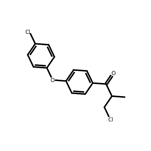 CC(CCl)C(=O)c1ccc(Oc2ccc(Cl)cc2)cc1